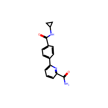 NC(=O)c1[c]ccc(-c2ccc(C(=O)NC3CC3)cc2)n1